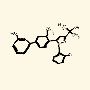 CC1CC(c2cccc(O)c2)=CC=C1c1cc(C(C)(C)O)nn1-c1ccccc1Cl